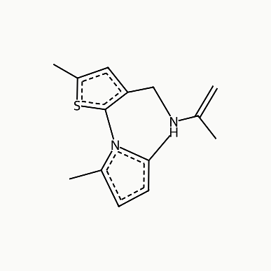 C=C(C)NCc1cc(C)sc1-n1c(C)ccc1C